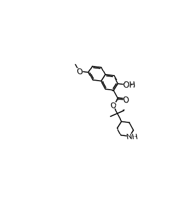 COc1ccc2cc(O)c(C(=O)OC(C)(C)C3CCNCC3)cc2c1